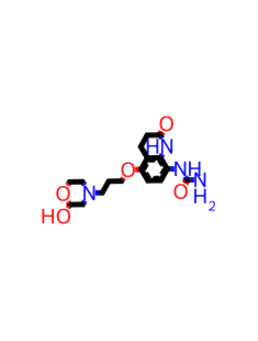 NC(=O)Nc1ccc(OCCCN2CCOC(O)C2)c2c1NC(=O)CC2